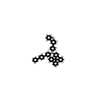 c1ccc(-c2ccc(-c3ccc(N(c4ccc(-c5ccc6sc7ccccc7c6c5)cc4)c4ccc5c(c4)C(c4ccccc4)(c4ccccc4)c4ccccc4-5)cc3)cc2)cc1